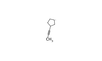 CC#CC1C[CH]CC1